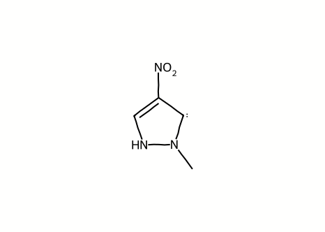 CN1[C]C([N+](=O)[O-])=CN1